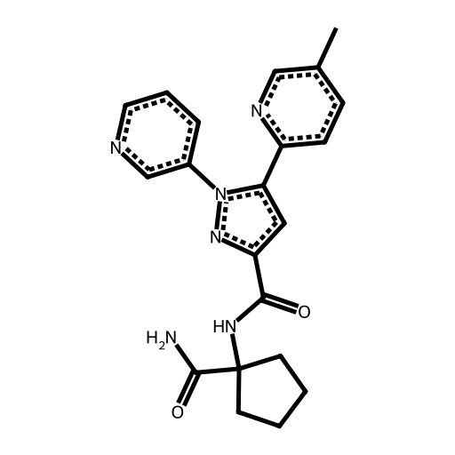 Cc1ccc(-c2cc(C(=O)NC3(C(N)=O)CCCC3)nn2-c2cccnc2)nc1